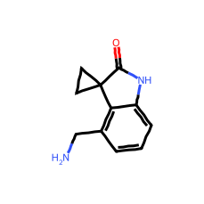 NCc1cccc2c1C1(CC1)C(=O)N2